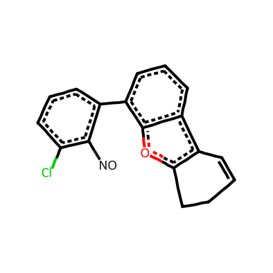 O=Nc1c(Cl)cccc1-c1cccc2c3c(oc12)CCC=C3